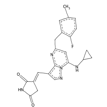 Cc1ccc(F)c(Cc2cc(NC3CC3)n3ncc(/C=C4\CC(=O)NC4=O)c3n2)c1